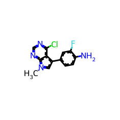 Cn1cc(-c2ccc(N)c(F)c2)c2c(Cl)ncnc21